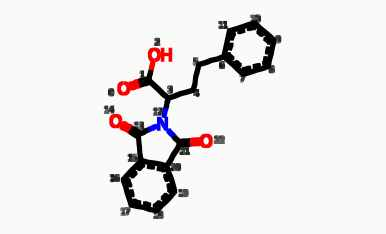 O=C(O)C(CCc1ccccc1)N1C(=O)c2ccccc2C1=O